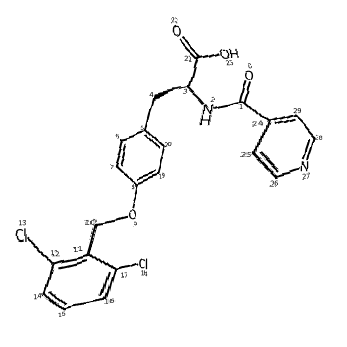 O=C(N[C@@H](Cc1ccc(OCc2c(Cl)cccc2Cl)cc1)C(=O)O)c1ccncc1